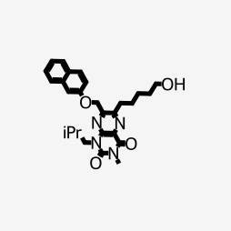 CC(C)Cn1c(=O)n(C)c(=O)c2nc(CCCCCO)c(COc3ccc4ccccc4c3)nc21